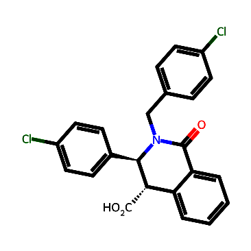 O=C(O)[C@H]1c2ccccc2C(=O)N(Cc2ccc(Cl)cc2)[C@@H]1c1ccc(Cl)cc1